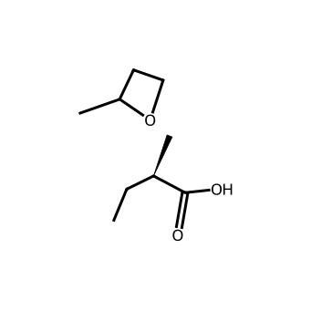 CC1CCO1.CC[C@@H](C)C(=O)O